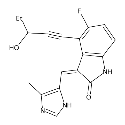 CCC(O)C#Cc1c(F)ccc2c1/C(=C/c1[nH]cnc1C)C(=O)N2